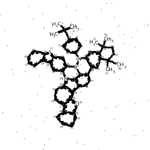 CC(C)(C)c1ccc(N2B3c4cc5sc6ccccc6c5cc4-n4c5ccc6c7ccccc7oc6c5c5ccc(c3c54)-c3cc4c(cc32)C(C)(C)CCC4(C)C)cc1